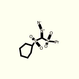 CC(C)S(=O)(=O)C(=[N+]=[N-])S(=O)(=O)C1CCCCC1